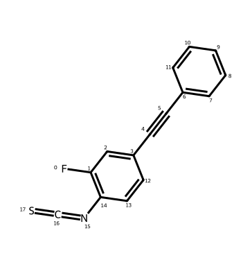 Fc1cc(C#Cc2ccccc2)ccc1N=C=S